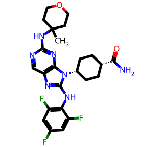 CC1(Nc2ncc3nc(Nc4c(F)cc(F)cc4F)n([C@H]4CC[C@@H](C(N)=O)CC4)c3n2)CCOCC1